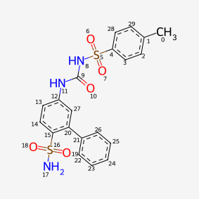 Cc1ccc(S(=O)(=O)NC(=O)Nc2ccc(S(N)(=O)=O)c(-c3ccccc3)c2)cc1